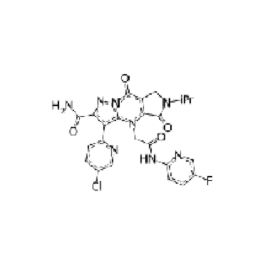 CC(C)N1Cc2c(n(CC(=O)Nc3ccc(F)cn3)c3c(-c4ccc(Cl)cn4)c(C(N)=O)nn3c2=O)C1=O